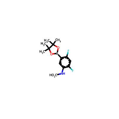 CC1(C)OB(c2cc(NC(=O)O)c(F)cc2F)OC1(C)C